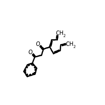 C=C/C=C\C(=C/C=C)C(=O)CC(=O)c1ccccc1